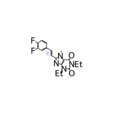 CCn1c(=O)c2c(nc(/C=C/c3ccc(F)c(F)c3)n2C)n(CC)c1=O